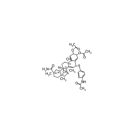 CC(=O)Nc1ccc(SC2C=C3[C@@](C)(CC[C@@]4(C)[C@@H]5C[C@](C)(C(N)=O)CC[C@]5(C)CC[C@]34C)C3=CC(OC(C)=O)C(OC(C)=O)C=C32)cc1